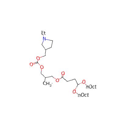 [CH2]C(COC(=O)CCC(OCCCCCCCC)OCCCCCCCC)COC(=O)OCC1CCN(CC)C1